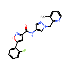 O=C(Nc1cnn(Cc2ncccc2C(F)(F)F)c1)c1cc(-c2ccccc2F)on1